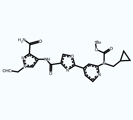 CC(C)(C)OC(=O)N(CC1CC1)c1cc(-c2nc(C(=O)Nc3cn(CC=O)nc3C(N)=O)co2)ccn1